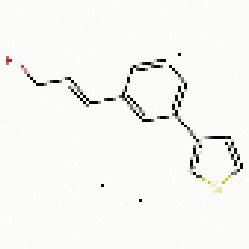 BrCC=Cc1cccc(-c2ccsc2)c1